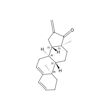 C=C1C[C@H]2[C@@H]3CC=C4C=CCC[C@]4(C)[C@H]3CC[C@]2(C)C1=O